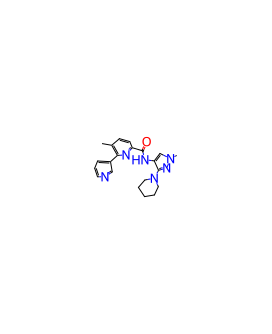 Cc1ccc(C(=O)Nc2cn(C)nc2N2CCCCC2)nc1-c1cccnc1